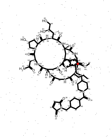 CC[C@H](C)[C@@H]1NC(=O)CNC(=O)[C@@H]2Cc3c([nH]c4c(CSC5CCN(C(=O)C6CCC(CN7C(=O)C=CC7=O)CC6)CC5)c(OC)ccc34)[S+]([O-])C[C@H](NC(=O)CNC1=O)C(=O)N[C@@H](CC(N)=O)C(=O)N1C[C@H](O)C[C@H]1C(=O)N[C@@H]([C@@H](C)[C@@H](O)CO)C(=O)N2